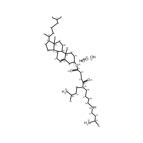 CC(C)CCCC(C)C1CCC2C3CC=C4CC(OC(=O)CCC(=O)N(CCCCNCCC(C)N)CCC(C)N)CCC4(C)C3CCC12C.Cl.Cl.Cl